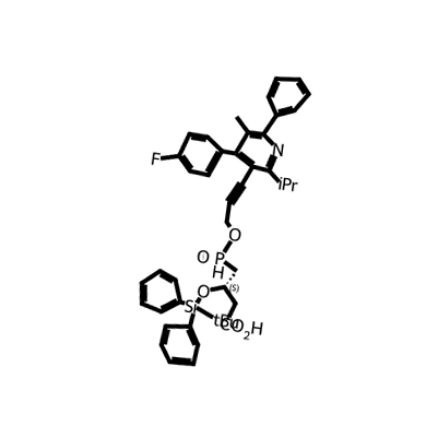 Cc1c(-c2ccccc2)nc(C(C)C)c(C#CCO[PH](=O)C[C@H](CC(=O)O)O[Si](c2ccccc2)(c2ccccc2)C(C)(C)C)c1-c1ccc(F)cc1